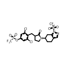 O=C1C(Cc2c(Cl)cc(OS(=O)(=O)C(F)(F)F)cc2Cl)CCN1C1CCc2cnn(S(=O)(=O)C(F)(F)F)c2C1